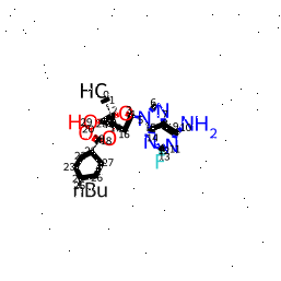 C#C[C@]12O[C@@H](n3cnc4c(N)nc(F)nc43)C[C@@]1(OC(=O)[C@H]1CC[C@H](CCCC)CC1)C2O